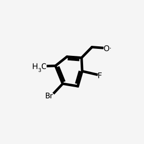 Cc1cc(C[O])c(F)cc1Br